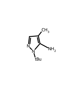 Cc1cnn(C(C)(C)C)c1N